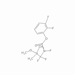 CO[Si](C)(C)C(F)(F)N(F)C(=O)Oc1cccc(F)c1F